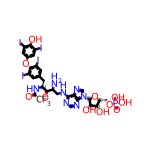 NC(CNc1ncnc2c1ncn2[C@@H]1O[C@H](COP(=O)(O)O)[C@@H](O)[C@H]1O)C(=O)[C@H](Cc1cc(I)c(Oc2cc(I)c(O)c(I)c2)c(I)c1)NC(=O)C(F)(F)F